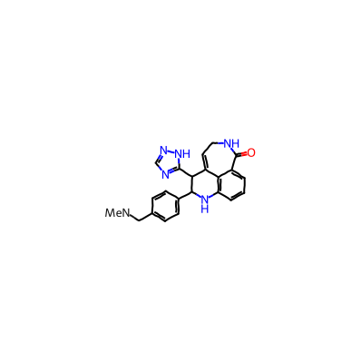 CNCc1ccc(C2Nc3cccc4c3C(=CCNC4=O)C2c2ncn[nH]2)cc1